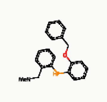 CNCc1ccccc1Pc1ccccc1OCc1ccccc1